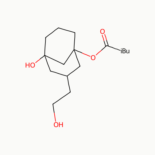 CCC(C)C(=O)OC12CCCC(O)(CC(CCO)C1)C2